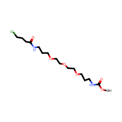 CC(C)(C)OC(=O)NCCCOCCOCCOCCCNC(=O)CCCCl